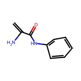 C=C(N)C(=O)Nc1cc[c]cc1